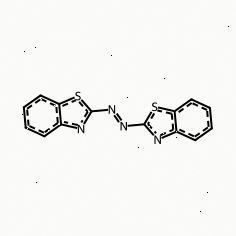 c1ccc2sc(/N=N/c3nc4ccccc4s3)nc2c1